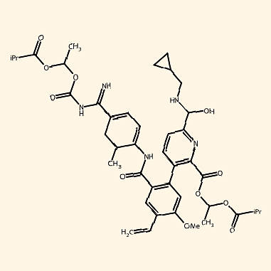 C=Cc1cc(C(=O)NC2=CC=C(C(=N)NC(=O)OC(C)OC(=O)C(C)C)CC2C)c(-c2ccc(C(O)NCC3CC3)nc2C(=O)OC(C)OC(=O)C(C)C)cc1OC